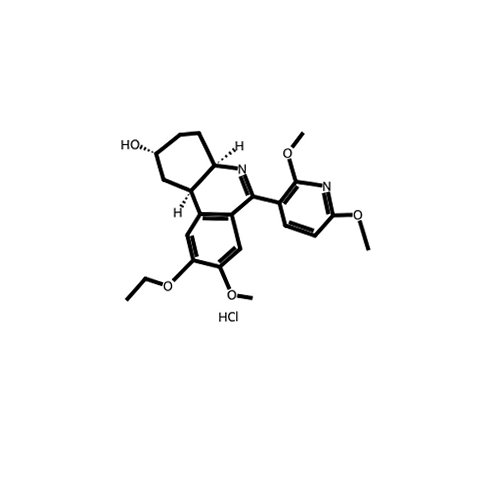 CCOc1cc2c(cc1OC)C(c1ccc(OC)nc1OC)=N[C@@H]1CC[C@@H](O)C[C@H]21.Cl